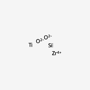 [O-2].[O-2].[Si].[Ti].[Zr+4]